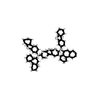 c1ccc2c(c1)cc(N(c1ccc3c(c1)oc1ccccc13)c1ccc3c(n1)sc1nc(N(c4ccc5c(c4)oc4ccccc45)c4cc5ccccc5c5ccccc45)cnc13)c1ccccc12